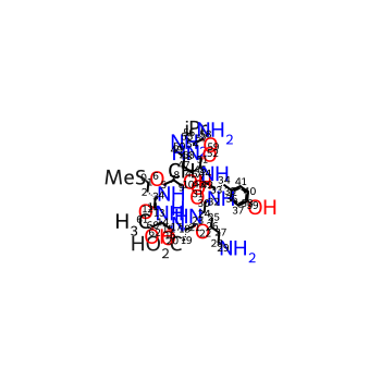 CSCC[C@H](NC(=O)[C@@H](C)CO)C(=O)N[C@H](C(=O)N[C@@H](CC(=O)O)C(=O)N[C@@H](CCCCN)C(=O)N[C@@H](Cc1ccc(O)cc1)C(=O)N[C@@H](CCCCN)C(=O)N[C@@H](CC(C)C)C(N)=O)[C@@H](C)O